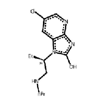 CCCNC[C@@H](CC)n1c(O)nc2ncc(Cl)cc21